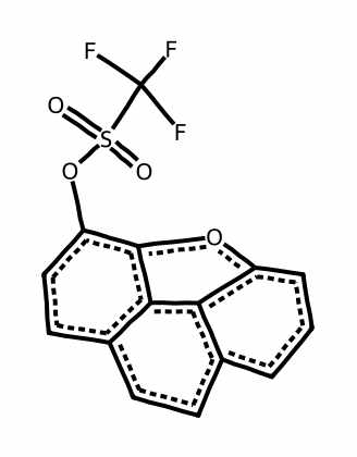 O=S(=O)(Oc1ccc2ccc3cccc4oc1c2c34)C(F)(F)F